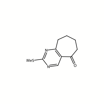 CSc1ncc2c(n1)CCCCC2=O